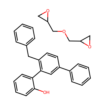 C(OCC1CO1)C1CO1.Oc1ccccc1-c1cc(-c2ccccc2)ccc1Cc1ccccc1